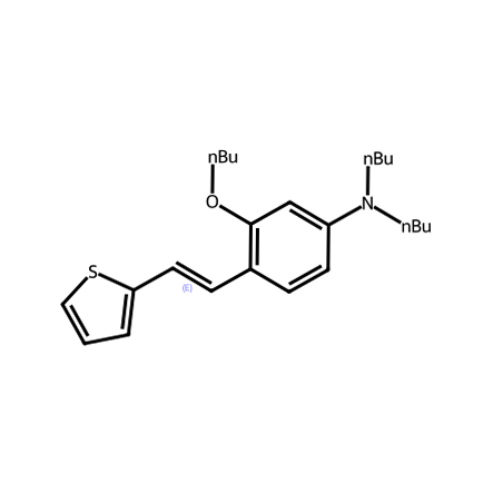 CCCCOc1cc(N(CCCC)CCCC)ccc1/C=C/c1cccs1